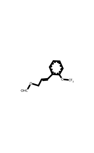 O=[C]OCC=Cc1ccccc1OC(F)(F)F